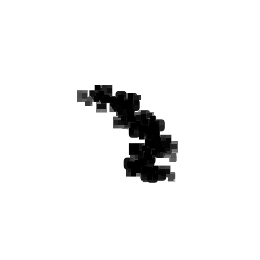 CC(C)C[C@H](NC(=O)[C@@H](NC(=O)[C@H](CS)NC(=O)CNC(=O)[C@@H](NC(=O)[C@@H](N)CCCNC(=N)N)C(C)C)C(C)C)C(=O)NCC(=O)N[C@H](C(=O)N[C@@H](CS)C(=O)N[C@@H](CCC(N)=O)C(=O)N[C@H]([C]=O)CC(N)=O)[C@@H](C)O